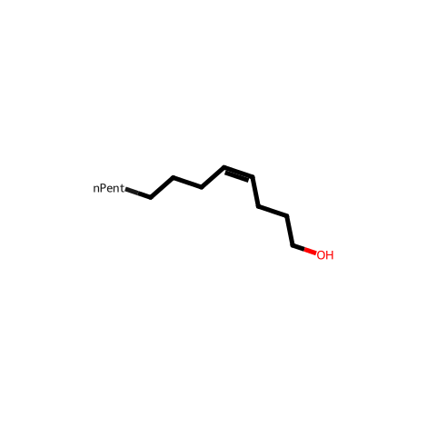 CCCCCCCC/C=C\CCCO